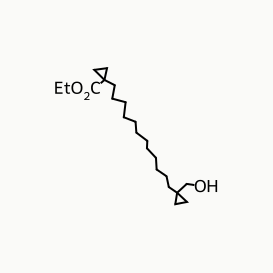 CCOC(=O)C1(CCCCCCCCCCCCC2(CO)CC2)CC1